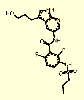 CCCS(=O)(=O)Nc1ccc(F)c(C(=O)Nc2cnc3[nH]cc(CCCO)c3c2)c1F